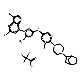 Cc1cc(Nc2nc(N)n(-c3nc(Cl)nc4c(C)csc34)n2)cnc1N1CCN(C2CC3CCC2C3)CC1.O=C(O)C(F)(F)F